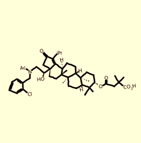 CC(=O)N(Cc1ccccc1Cl)C[C@H](O)[C@@]12CC[C@]3(C)[C@H](CC[C@@H]4[C@@]5(C)CC[C@H](OC(=O)CC(C)(C)C(=O)O)C(C)(C)[C@H]5CC[C@]43C)C1=C(C(C)C)C(=O)C2